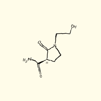 NC(=O)[C@@H]1CCN(CCO)C1=O